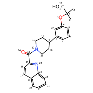 CC(C)(Oc1cccc(C2CCN(C(=O)c3ccc4ccccc4n3)CC2)c1)C(=O)O